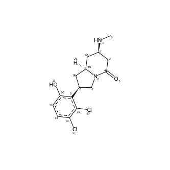 CN[C@H]1CC(=O)N2C[C@@H](c3c(O)ccc(Cl)c3Cl)C[C@H]2C1